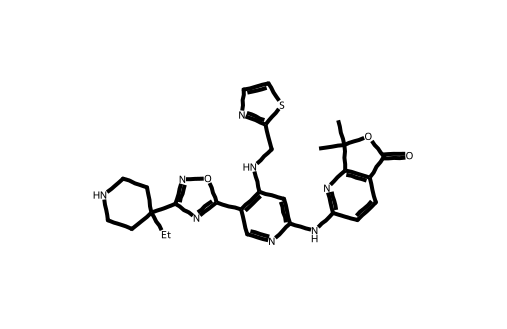 CCC1(c2noc(-c3cnc(Nc4ccc5c(n4)C(C)(C)OC5=O)cc3NCc3nccs3)n2)CCNCC1